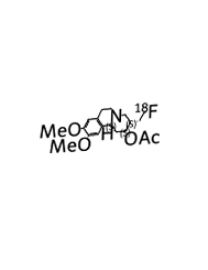 COc1cc2c(cc1OC)[C@@H]1C[C@H](OC(C)=O)[C@@H](CC[18F])CN1CC2